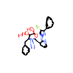 O=C(O)C(O)C(Cc1ccccc1)NCc1cccnc1-n1cc(F)c(-c2ccccc2)n1